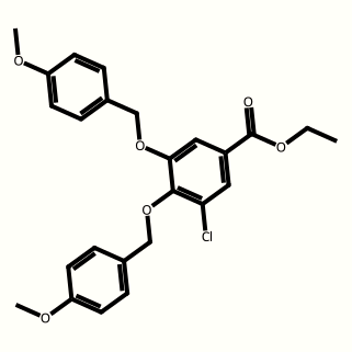 CCOC(=O)c1cc(Cl)c(OCc2ccc(OC)cc2)c(OCc2ccc(OC)cc2)c1